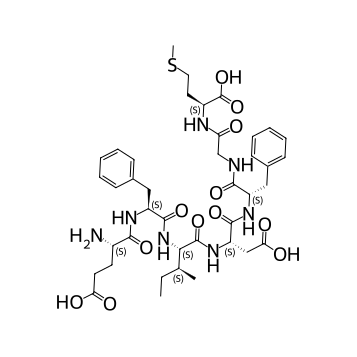 CC[C@H](C)[C@H](NC(=O)[C@H](Cc1ccccc1)NC(=O)[C@@H](N)CCC(=O)O)C(=O)N[C@@H](CC(=O)O)C(=O)N[C@@H](Cc1ccccc1)C(=O)NCC(=O)N[C@@H](CCSC)C(=O)O